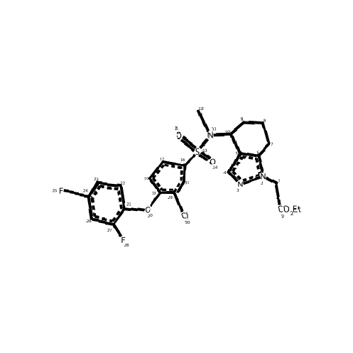 CCOC(=O)Cn1ncc2c1CCCC2N(C)S(=O)(=O)c1ccc(Oc2ccc(F)cc2F)c(Cl)c1